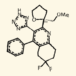 COC[C@@]1(c2nc3c(c(-c4ccccc4)c2-c2nn[nH]n2)CC(F)(F)CC3)CCCO1